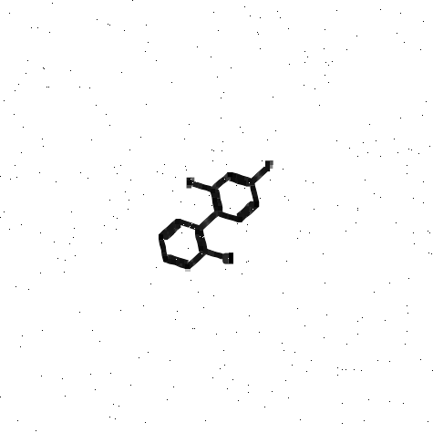 Fc1ccc(-c2ccc[c]c2Cl)c(F)c1